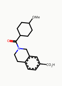 COC1CCC(C(=O)N2CCc3ccc(C(=O)O)cc3C2)CC1